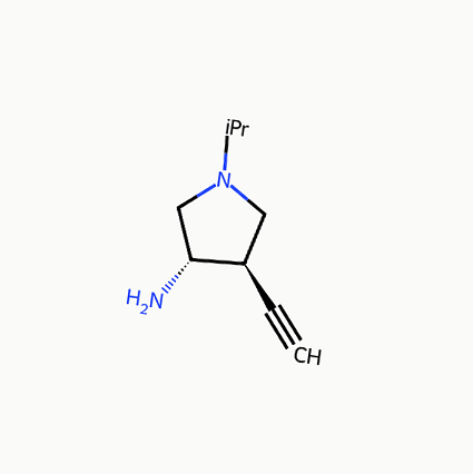 C#C[C@@H]1CN(C(C)C)C[C@H]1N